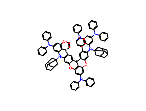 c1ccc(N(c2ccccc2)c2cc3c4c(c2)Oc2cc5c(cc2B4c2cc4c(cc2O3)N(C23CC6CC(CC(C6)C2)C3)c2cc(N(c3ccccc3)c3ccccc3)cc3c2B4c2ccccc2O3)B2c3ccccc3N(c3ccccc3)c3cc(N(c4ccccc4)c4ccccc4)cc(c32)N5C23CC4CC(CC(C4)C2)C3)cc1